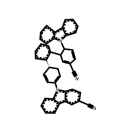 N#CC1=CC(c2ccccc2[C@H]2C=CC(n3c4ccccc4c4cc(C#N)ccc43)=CC2)C(n2c3ccccc3c3ccccc32)C=C1